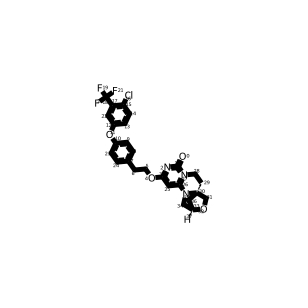 O=c1nc(OCCc2ccc(Oc3ccc(Cl)c(C(F)(F)F)c3)cc2)cc2n1CC[C@@]13CO[C@@H](CN21)C3